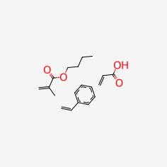 C=C(C)C(=O)OCCCC.C=CC(=O)O.C=Cc1ccccc1